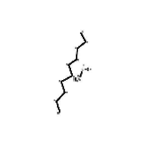 CCCCCCCCCC.NC=O